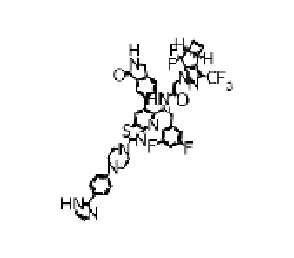 O=C(Cn1nc(C(F)(F)F)c2c1C(F)(F)[C@@H]1C=C[C@H]21)N[C@@H](Cc1cc(F)cc(F)c1)c1nc2nc(N3CCN(c4ccc(-c5ncc[nH]5)cc4)CC3)sc2cc1-c1ccc2c(c1)C(=O)NC2